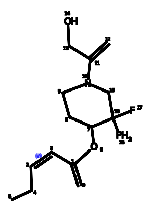 C=C(/C=C\CC)OC1CCN(C(=C)CO)CC1(F)P